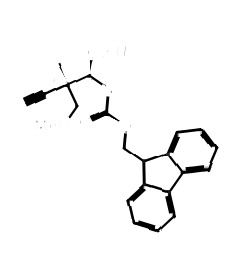 C#C[C@@](C)(COC)[C@H](NC(=O)OCC1c2ccccc2-c2ccccc21)C(=O)O